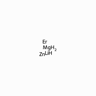 [Er].[LiH].[MgH2].[Zn]